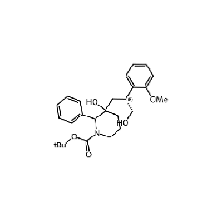 COc1ccccc1[C@H](CO)CC1(O)CCCN(C(=O)OC(C)(C)C)C1c1ccccc1